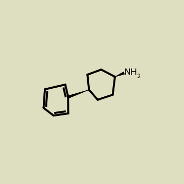 N[C@H]1CC[C@@H](c2ccccc2)CC1